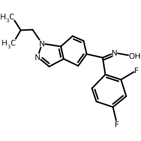 CC(C)Cn1ncc2cc(C(=NO)c3ccc(F)cc3F)ccc21